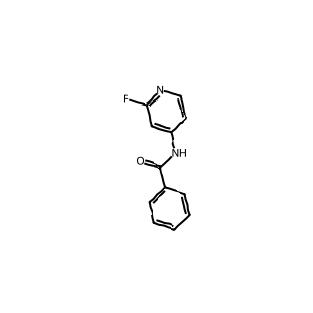 O=C(Nc1ccnc(F)c1)c1ccccc1